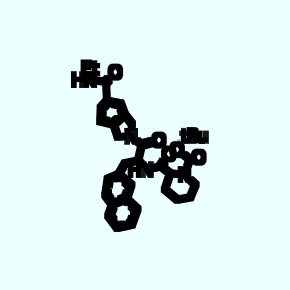 CCNC(=O)c1ccc2c(c1)CN(C(=O)C(Cc1ccc3ccccc3c1)NC(=O)C1CCCCN1C(=O)OC(C)(C)C)C2